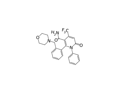 NC(=O)c1c(C(F)(F)F)cc(=O)n(-c2ccccc2)c1-c1ccccc1CN1CCOCC1